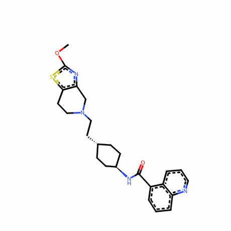 COc1nc2c(s1)CCN(CC[C@H]1CC[C@H](NC(=O)c3cccc4ncccc34)CC1)C2